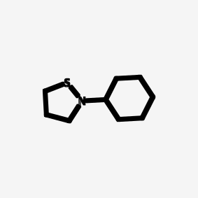 C1CCC(N2CCCS2)CC1